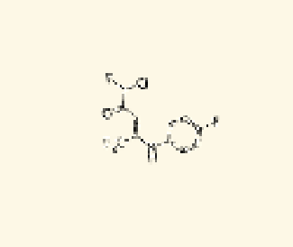 O=C(C=C(Nc1ccc(F)cc1)C(F)(F)F)C(F)Cl